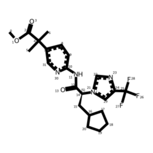 COC(=O)C(C)(C)c1ccc(NC(=O)[C@H](CC2CCCC2)n2cnc(C(F)(F)F)c2)nc1